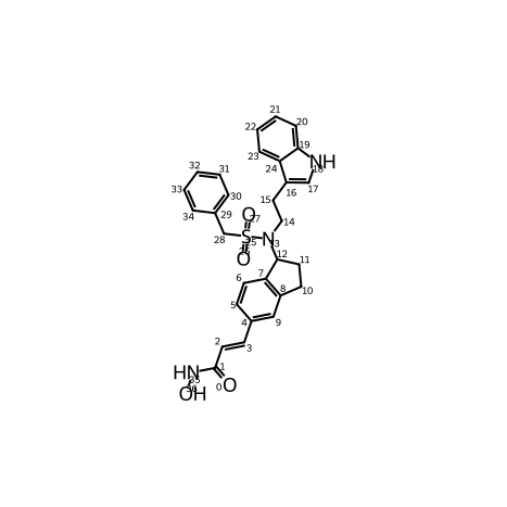 O=C(C=Cc1ccc2c(c1)CCC2N(CCc1c[nH]c2ccccc12)S(=O)(=O)Cc1ccccc1)NO